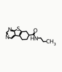 CCCNC(=O)C1CCc2c(sc3ncncc23)C1